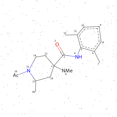 CNC1(C(=O)Nc2c(C)cccc2C)CCN(C(C)=O)C(C)C1